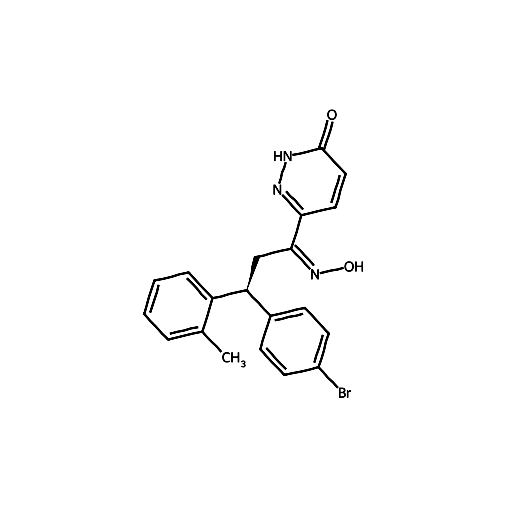 Cc1ccccc1[C@@H](CC(=NO)c1ccc(=O)[nH]n1)c1ccc(Br)cc1